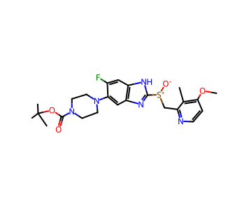 COc1ccnc(C[S+]([O-])c2nc3cc(N4CCN(C(=O)OC(C)(C)C)CC4)c(F)cc3[nH]2)c1C